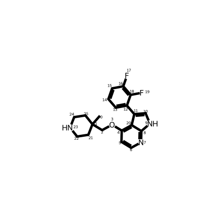 CC1(COc2ccnc3[nH]cc(-c4cccc(F)c4F)c23)CCNCC1